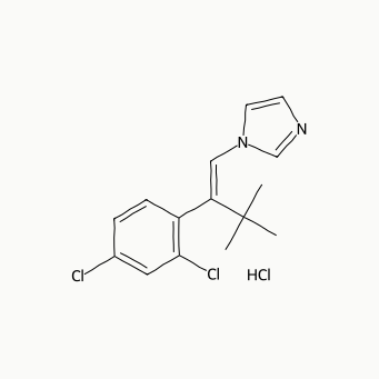 CC(C)(C)C(=Cn1ccnc1)c1ccc(Cl)cc1Cl.Cl